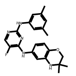 Cc1cc(C)cc(Nc2ncc(F)c(Nc3ccc4c(c3)NC(C)(C)CO4)n2)c1